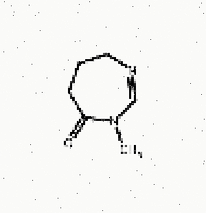 CN1C=NCCCC1=O